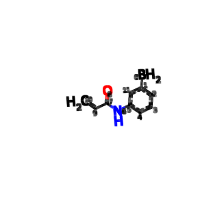 Bc1cccc(NC(=O)C=C)c1